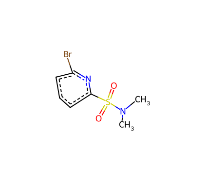 CN(C)S(=O)(=O)c1cccc(Br)n1